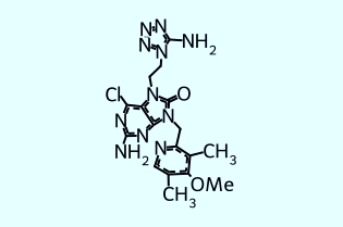 COc1c(C)cnc(Cn2c(=O)n(CCn3nnnc3N)c3c(Cl)nc(N)nc32)c1C